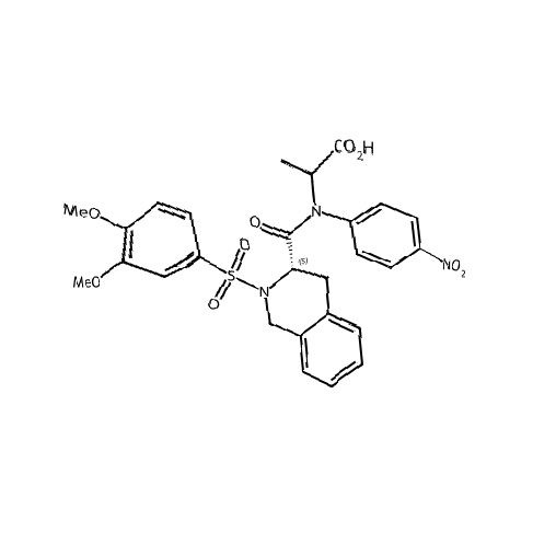 COc1ccc(S(=O)(=O)N2Cc3ccccc3C[C@H]2C(=O)N(c2ccc([N+](=O)[O-])cc2)C(C)C(=O)O)cc1OC